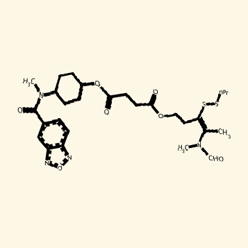 CCCSS/C(CCOC(=O)CCC(=O)OC1CCC(N(C)C(=O)c2ccc3nonc3c2)CC1)=C(\C)N(C)C=O